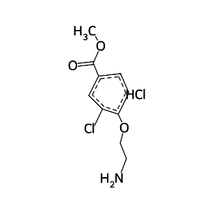 COC(=O)c1ccc(OCCN)c(Cl)c1.Cl